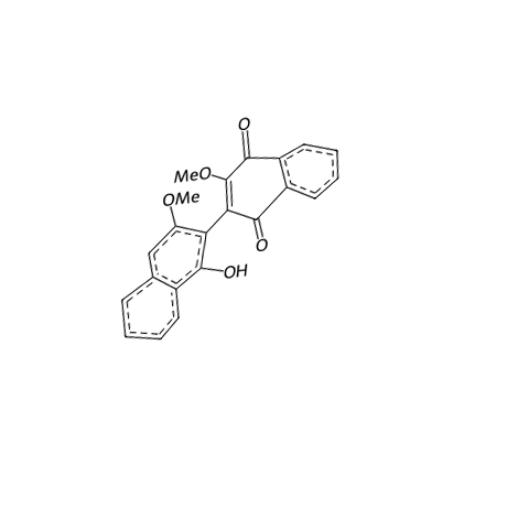 COC1=C(c2c(OC)cc3ccccc3c2O)C(=O)c2ccccc2C1=O